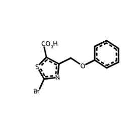 O=C(O)c1sc(Br)nc1COc1ccccc1